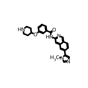 Cn1cncc1-c1ccc2cnc(NC(=O)c3cccc(OC4CCNCC4)c3)cc2c1